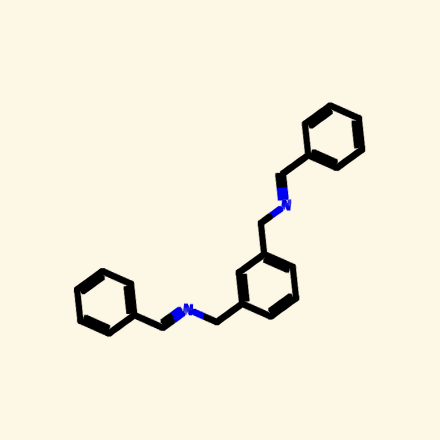 C(=N\Cc1cccc(C/N=C/c2ccccc2)c1)/c1ccccc1